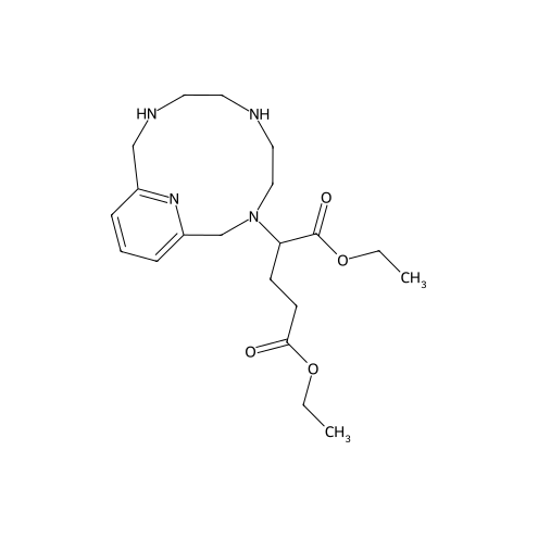 CCOC(=O)CCC(C(=O)OCC)N1CCNCCNCc2cccc(n2)C1